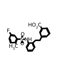 Cc1ccc(F)cc1S(=O)(=O)Nc1ccccc1CCc1cccc(C(=O)O)c1